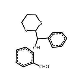 O=Cc1ccccc1.OC(c1ccccc1)C1SCCCS1